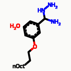 CCCCCCCCCCOc1cccc(C(N)NN)c1.O